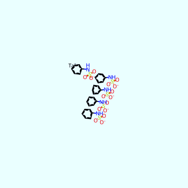 O=S(=O)([O-])Nc1ccccc1.O=S(=O)([O-])Nc1ccccc1.O=S(=O)([O-])Nc1ccccc1.O=S(=O)([O-])Nc1ccccc1.O=S(=O)([O-])Nc1ccccc1.[Ta+5]